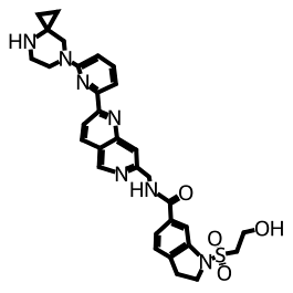 O=C(NCc1cc2nc(-c3cccc(N4CCNC5(CC5)C4)n3)ccc2cn1)c1ccc2c(c1)N(S(=O)(=O)CCO)CC2